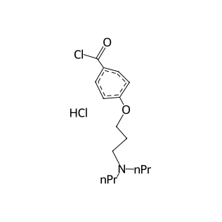 CCCN(CCC)CCCOc1ccc(C(=O)Cl)cc1.Cl